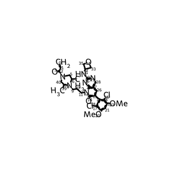 C=CC(=O)N1CC(C)N(CCCn2c(=O)c(-c3c(Cl)c(OC)cc(OC)c3Cl)cc3cnc(NC4COC4)nc32)C(C)C1